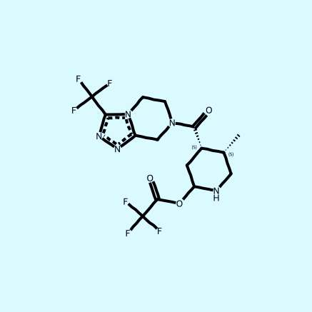 C[C@@H]1CNC(OC(=O)C(F)(F)F)C[C@@H]1C(=O)N1CCn2c(nnc2C(F)(F)F)C1